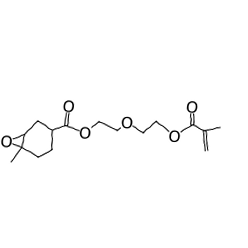 C=C(C)C(=O)OCCOCCOC(=O)C1CCC2(C)OC2C1